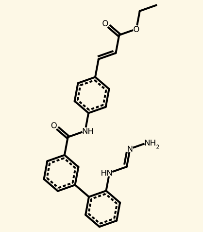 CCOC(=O)C=Cc1ccc(NC(=O)c2cccc(-c3ccccc3NC=NN)c2)cc1